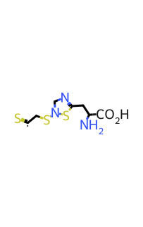 NC(CC1=NCN(SC[C]=S)S1)C(=O)O